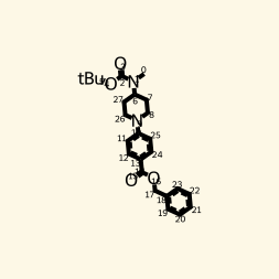 CN(C(=O)OC(C)(C)C)C1CCN(c2ccc(C(=O)OCc3ccccc3)cc2)CC1